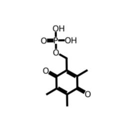 CC1=C(C)C(=O)C(COP(=O)(O)O)=C(C)C1=O